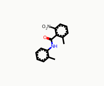 Cc1ccccc1NC(=O)c1c(C)cccc1[N+](=O)[O-]